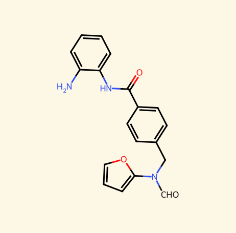 Nc1ccccc1NC(=O)c1ccc(CN(C=O)c2ccco2)cc1